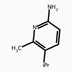 Cc1nc(N)ccc1C(C)C